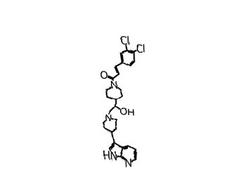 O=C(C=Cc1ccc(Cl)c(Cl)c1)N1CCC(C(O)CN2CCC(c3c[nH]c4ncccc34)CC2)CC1